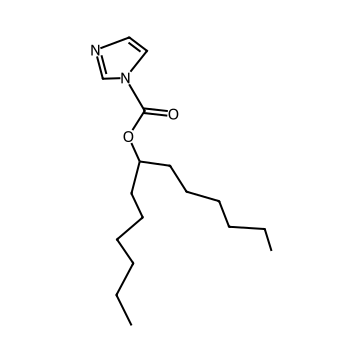 CCCCCCC(CCCCCC)OC(=O)n1ccnc1